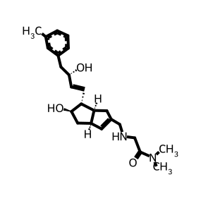 Cc1cccc(C[C@H](O)/C=C/[C@@H]2[C@H]3CC(CNCC(=O)N(C)C)=C[C@H]3C[C@H]2O)c1